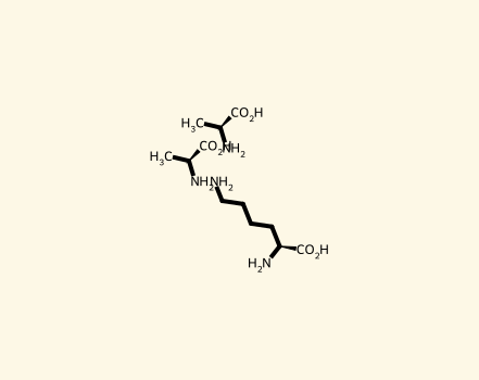 C[C@H](N)C(=O)O.C[C@H](N)C(=O)O.NCCCC[C@H](N)C(=O)O